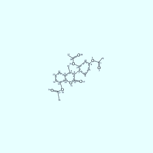 CC(=O)Oc1ccc(-c2c(C)c3cccc(OC(C)=O)c3oc2=O)c(OC(C)=O)c1